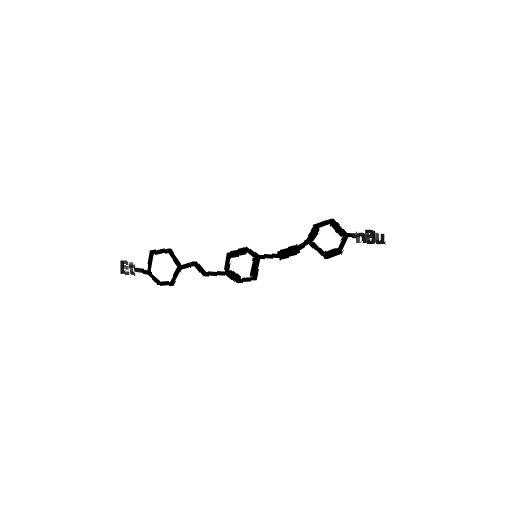 CCCCc1ccc(C#Cc2ccc(CCC3CCC(CC)CC3)cc2)cc1